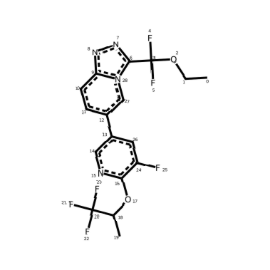 CCOC(F)(F)c1nnc2ccc(-c3cnc(OC(C)C(F)(F)F)c(F)c3)cn12